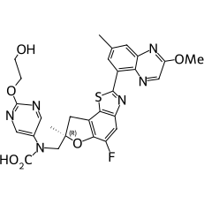 COc1cnc2c(-c3nc4cc(F)c5c(c4s3)C[C@](C)(CN(C(=O)O)c3cnc(OCCO)nc3)O5)cc(C)cc2n1